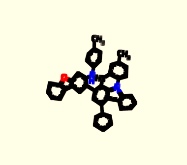 Cc1ccc(Nc2cc3oc4ccccc4c3cc2-c2cc(-c3ccccc3)c3c4ccccc4n4c3c2Bc2cc(C)ccc2-4)cc1